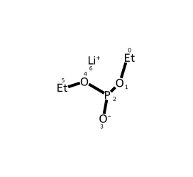 CCOP([O-])OCC.[Li+]